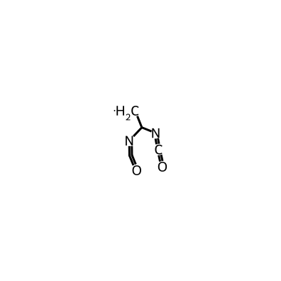 [CH2]C(N=C=O)N=C=O